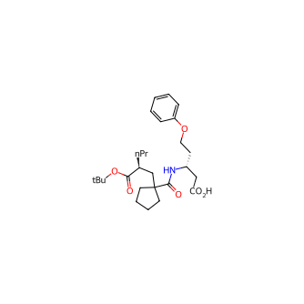 CCC[C@@H](CC1(C(=O)N[C@H](CCOc2ccccc2)CC(=O)O)CCCC1)C(=O)OC(C)(C)C